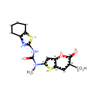 CN(C(=O)Nc1nc2c(s1)CCCC2)c1cc2oc(=O)c(C(=O)O)cc2s1